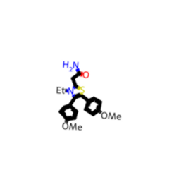 CCN1C(c2ccc(OC)cc2)=C(c2ccc(OC)cc2)SC1CC(N)=O